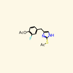 CC(=O)Oc1ccc(Cc2c[nH]c(SC(C)=O)n2)cc1F